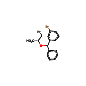 CC(C)C[C@H](OC(c1ccccc1)c1cccc(Br)c1)C(=O)O